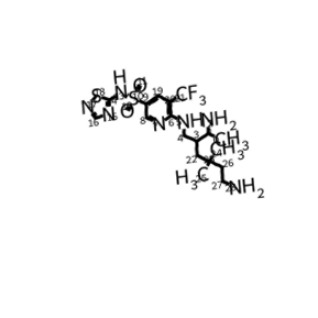 CC(N)C(CNc1ncc(S(=O)(=O)Nc2ncns2)cc1C(F)(F)F)CC(C)(C)CCN